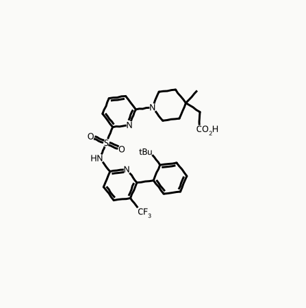 CC1(CC(=O)O)CCN(c2cccc(S(=O)(=O)Nc3ccc(C(F)(F)F)c(-c4ccccc4C(C)(C)C)n3)n2)CC1